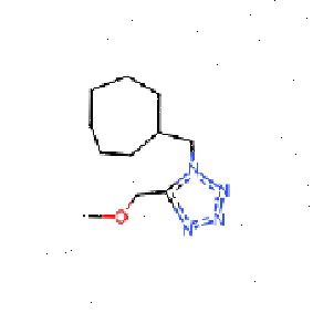 [CH2]OCc1nnnn1CC1CCCCCC1